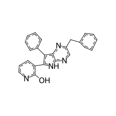 Oc1ncccc1-c1[nH]c2ncc(Cc3ccccc3)nc2c1-c1ccccc1